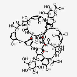 CN[C@H]1C(=O)N[C@H]2C(=O)N[C@H](C(=O)N[C@H]3C(=O)N[C@H]4C(=O)N[C@H](C(=O)N[C@H](C(=O)O)c5cc(O)cc(O[C@H]6O[C@H](CO)[C@@H](O)[C@H](O)[C@@H]6O)c5-c5cc4ccc5O)[C@H](O)c4cc(Cl)c(c(Cl)c4)Oc4cc3cc(c4O[C@@H]3O[C@H](C(=O)O)[C@@H](O)[C@H](O)[C@H]3NC(=O)CCCCCCCC(C)C)Oc3ccc(cc3Cl)[C@H]2O)c2cc(cc(O)c2Cl)Oc2cc1ccc2O